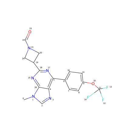 Cn1cnc2c(-c3ccc(OC(F)(F)F)cc3)nc(C3CN(C=O)C3)nc21